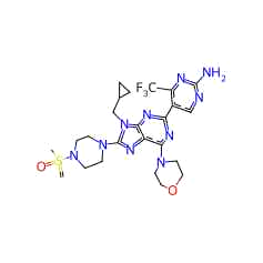 C=S(C)(=O)N1CCN(c2nc3c(N4CCOCC4)nc(-c4cnc(N)nc4C(F)(F)F)nc3n2CC2CC2)CC1